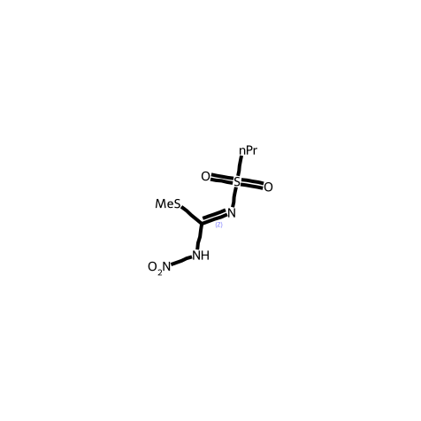 CCCS(=O)(=O)/N=C(/N[N+](=O)[O-])SC